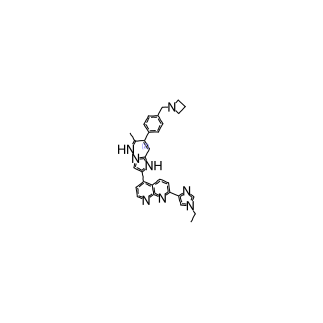 CCn1cnc(-c2ccc3c(-c4cnc(/C=C(\C(C)=N)c5ccc(CN6CCC6)cc5)[nH]4)ccnc3n2)c1